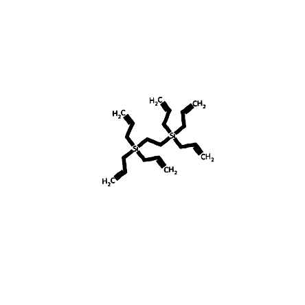 C=CC[Si](CC=C)(CC=C)CC[Si](CC=C)(CC=C)CC=C